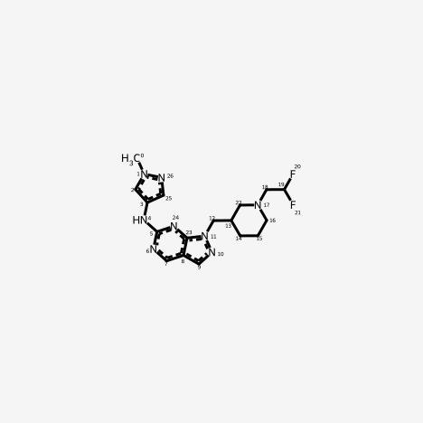 Cn1cc(Nc2ncc3cnn(CC4CCCN(CC(F)F)C4)c3n2)cn1